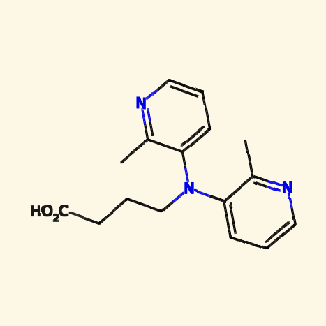 Cc1ncccc1N(CCCC(=O)O)c1cccnc1C